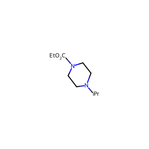 CCOC(=O)N1CCN(C(C)C)CC1